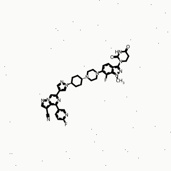 Cn1nc(N2CCC(=O)NC2=O)c2ccc(N3CCN([C@H]4CC[C@H](n5cc(-c6cn7ncc(C#N)c7c(-c7ccc(F)nc7)n6)cn5)CC4)CC3)c(F)c21